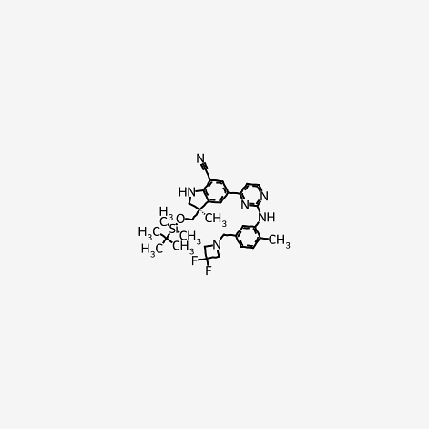 Cc1ccc(CN2CC(F)(F)C2)cc1Nc1nccc(-c2cc(C#N)c3c(c2)[C@@](C)(CO[Si](C)(C)C(C)(C)C)CN3)n1